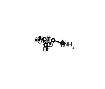 CN(C(=O)OC(C)(C)C)[C@H]1CCCN(c2ccc(C(F)(F)F)cc2NC(=O)c2cc(C#Cc3cnc(N)nc3)ccc2F)C1